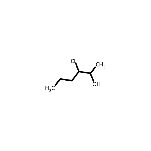 CCCC(Cl)C(C)O